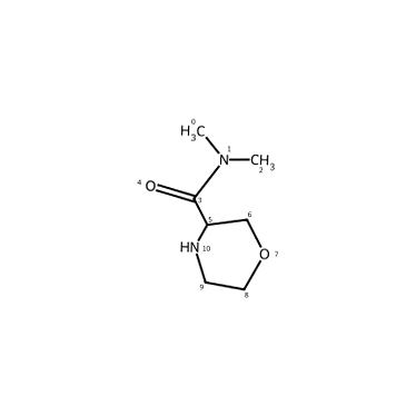 CN(C)C(=O)C1COCCN1